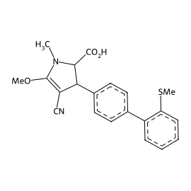 COC1=C(C#N)C(c2ccc(-c3ccccc3SC)cc2)C(C(=O)O)N1C